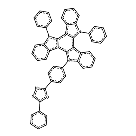 c1ccc(-c2nnc(-c3ccc(-n4c5ccccc5c5c6c(c7ccccc7n6-c6ccccc6)c6c(c7ccccc7n6-c6ccccc6)c54)cc3)o2)cc1